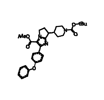 COC(=O)c1c(-c2ccc(Oc3ccccc3)cc2)nc2n1CCC2C1CCN(C(=O)OC(C)(C)C)CC1